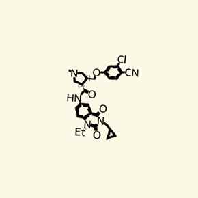 CCn1c(=O)n(CC2CC2)c(=O)c2cc(NC(=O)[C@@H]3CN(C)C[C@H]3COc3ccc(C#N)c(Cl)c3)ccc21